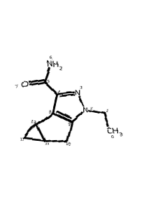 CCn1nc(C(N)=O)c2c1CC1CC21